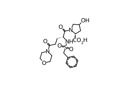 O=C(O)[C@@H]1CC(O)CN1C(=O)[C@@H](CCC(=O)N1CCOCC1)NS(=O)(=O)Cc1ccccc1